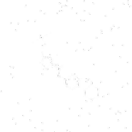 O=C(Nc1ccc([C@H]2CNCCO2)nc1)c1[nH]nc(OCC(F)(F)F)c1Cl